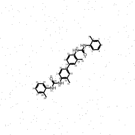 Cc1ccccc1NC(=O)Nc1ccc(-c2ccc(NC(=O)Nc3ccccc3C)c(C)c2)cc1C